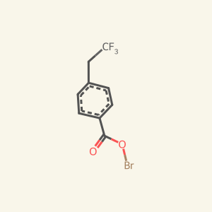 O=C(OBr)c1ccc(CC(F)(F)F)cc1